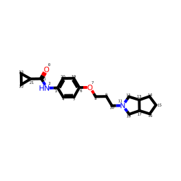 O=C(Nc1ccc(OCCCN2CC3CCCC3C2)cc1)C1CC1